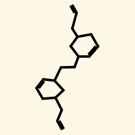 C=CCC1CC=CC(CCC2C=CCC(CC=C)C2)C1